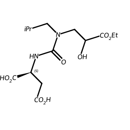 CCOC(=O)C(O)CN(CC(C)C)C(=O)N[C@@H](CC(=O)O)C(=O)O